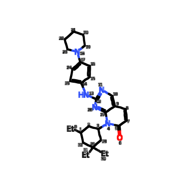 CCC1CC(n2c(=O)ccc3cnc(Nc4ccc(N5CCCCC5)cc4)nc32)CC(CC)(CC)C1